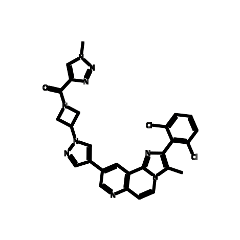 Cc1c(-c2c(Cl)cccc2Cl)nc2c3cc(-c4cnn(C5CN(C(=O)c6cn(C)nn6)C5)c4)cnc3ccn12